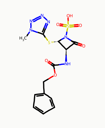 Cn1nnnc1S[C@H]1[C@H](NC(=O)OCc2ccccc2)C(=O)N1S(=O)(=O)O